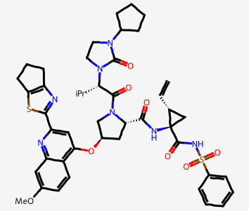 C=C[C@@H]1C[C@]1(NC(=O)[C@@H]1C[C@@H](Oc2cc(-c3nc4c(s3)CCC4)nc3cc(OC)ccc23)CN1C(=O)[C@H](C(C)C)N1CCN(C2CCCC2)C1=O)C(=O)NS(=O)(=O)c1ccccc1